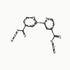 [N-]=[N+]=NC(=O)c1ccnc(-c2cc(C(=O)N=[N+]=[N-])ccn2)c1